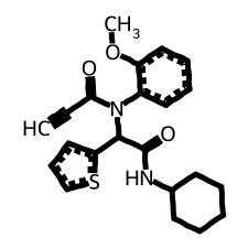 C#CC(=O)N(c1ccccc1OC)C(C(=O)NC1CCCCC1)c1cccs1